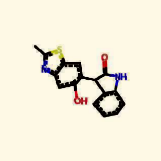 Cc1nc2cc(O)c(C3C(=O)Nc4ccccc43)cc2s1